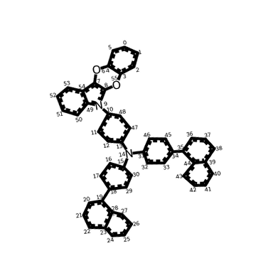 c1ccc2c(c1)Oc1c(n(-c3ccc(N(c4ccc(-c5cccc6ccccc56)cc4)c4ccc(-c5cccc6ccccc56)cc4)cc3)c3ccccc13)O2